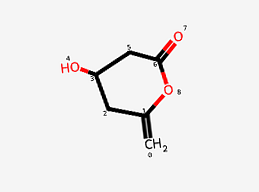 C=C1CC(O)CC(=O)O1